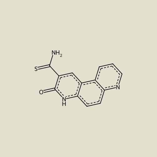 NC(=S)c1cc2c(ccc3ncccc32)[nH]c1=O